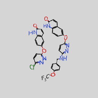 O=c1ccc2cc(Oc3ccc(Cl)nn3)ccc2[nH]1.O=c1ccc2cc(Oc3ccc(NCc4ccc(OC(F)(F)F)cc4)nn3)ccc2[nH]1